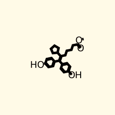 COC(=O)CCCCC(=C(c1ccc(O)cc1)c1ccc(O)cc1)C1CCCC1